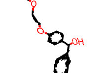 COCCOc1ccc(C(O)c2ccccc2)cc1